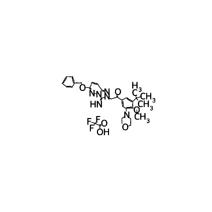 COc1c(N2CCOCC2)cc(C(=O)Cn2nc3ccc(OCc4ccccc4)nn3c2=N)cc1C(C)(C)C.O=C(O)C(F)(F)F